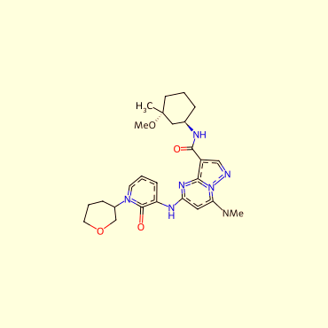 CNc1cc(Nc2cccn(C3CCCOC3)c2=O)nc2c(C(=O)N[C@@H]3CCC[C@@](C)(OC)C3)cnn12